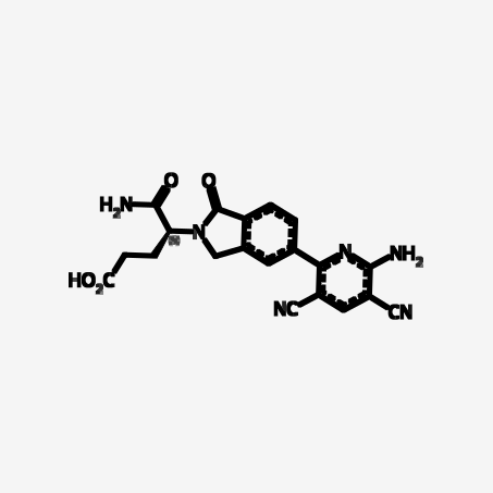 N#Cc1cc(C#N)c(-c2ccc3c(c2)CN([C@@H](CCC(=O)O)C(N)=O)C3=O)nc1N